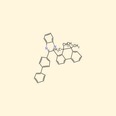 CC1(C)c2ccccc2-c2cccc(-c3nc4ccccc4nc3-c3ccc(-c4ccccc4)cc3)c2C1(C)C